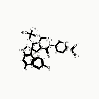 CCN1[C@@H](CC(C)(C)C)[C@@]2(CNc3cc(Cl)ccc32)[C@@H](c2cccc(Cl)c2)[C@@H]1C(=O)N[C@@H]1CC[C@@H](C(N)=O)OC1